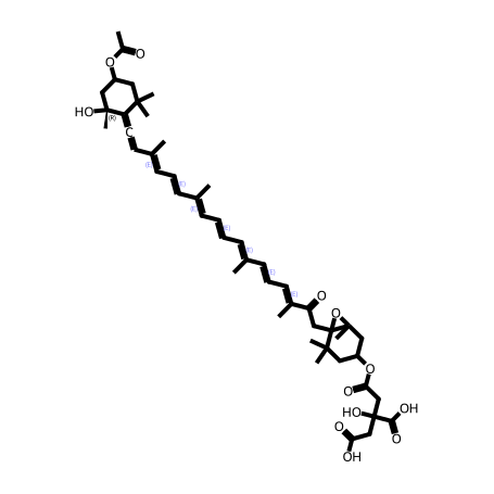 CC(=O)OC1CC(C)(C)C(=C=C/C(C)=C/C=C/C(C)=C/C=C/C=C(C)/C=C/C=C(\C)C(=O)CC23OC2(C)CC(OC(=O)CC(O)(CC(=O)O)C(=O)O)CC3(C)C)[C@](C)(O)C1